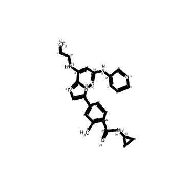 Cc1cc(-c2cnc3c(NCCC(F)(F)F)cc(Nc4cccnc4)nn23)ccc1C(=O)NC1CC1